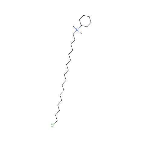 C[N+](C)(CCCCCCCCCCCCCCCCCCCl)C1CCCCC1